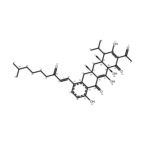 CC(=O)C1=C(O)C(C(C)C)[C@@]2(C)C[C@@]3(C)Cc4c(/C=C/C(=O)CCCCC(C)C)ccc(O)c4C(=O)C3=C(O)[C@@]2(O)C1=O